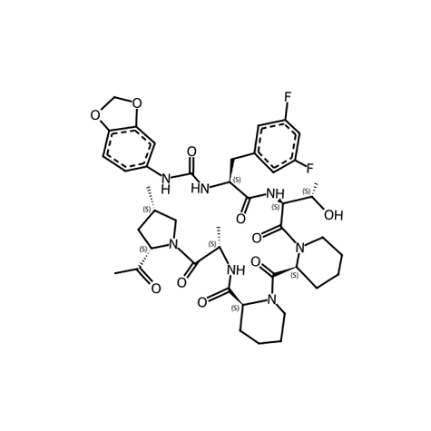 CC(=O)[C@@H]1C[C@H](C)CN1C(=O)[C@H](C)NC(=O)[C@@H]1CCCCN1C(=O)[C@@H]1CCCCN1C(=O)[C@@H](NC(=O)[C@H](Cc1cc(F)cc(F)c1)NC(=O)Nc1ccc2c(c1)OCO2)[C@H](C)O